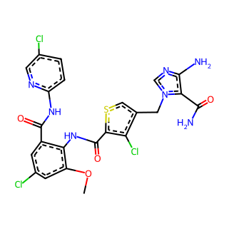 COc1cc(Cl)cc(C(=O)Nc2ccc(Cl)cn2)c1NC(=O)c1scc(Cn2cnc(N)c2C(N)=O)c1Cl